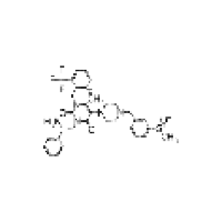 Cc1c(N2CCN(Cc3cccc([S+](C)[O-])c3)CC2)c(=O)n(C[C@@H](N)c2ccccc2)c(=O)n1Cc1c(F)cccc1C(F)(F)F